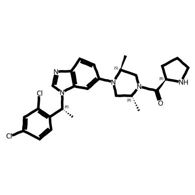 C[C@@H]1CN(c2ccc3ncn([C@H](C)c4ccc(Cl)cc4Cl)c3c2)[C@@H](C)CN1C(=O)[C@H]1CCCN1